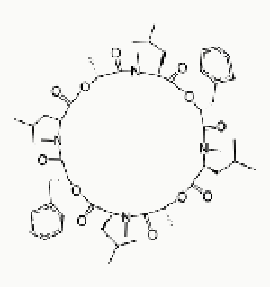 CC(C)CC1C(=O)O[C@H](C)C(=O)N(C)[C@@H](CC(C)C)C(=O)O[C@H](Cc2ccccc2)C(=O)N(C)[C@@H](CC(C)C)C(=O)O[C@H](C)C(=O)N(C)[C@@H](CC(C)C)C(=O)O[C@H](Cc2ccccc2)C(=O)N1C